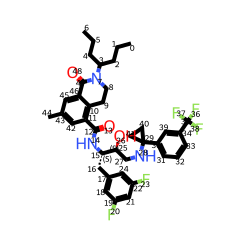 CCCC(CCC)N1CCc2c(C(=O)N[C@@H](Cc3cc(F)cc(F)c3)[C@@H](O)CNC3(c4cccc(C(F)(F)F)c4)CC3)cc(C)cc2C1=O